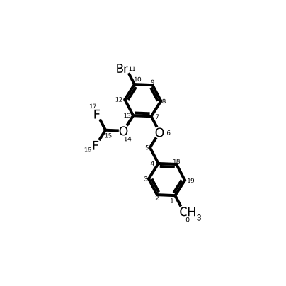 Cc1ccc(COc2ccc(Br)cc2OC(F)F)cc1